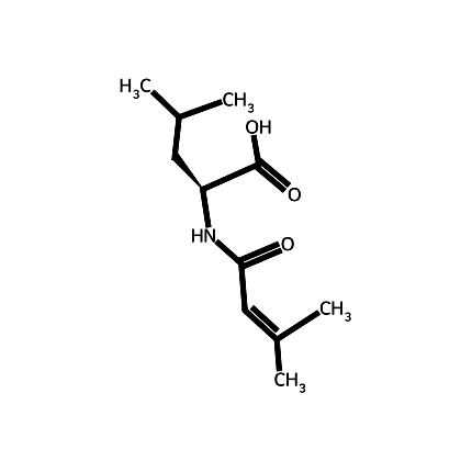 CC(C)=CC(=O)N[C@@H](CC(C)C)C(=O)O